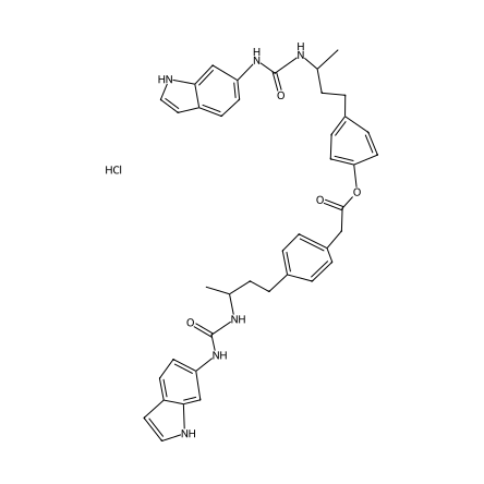 CC(CCc1ccc(CC(=O)Oc2ccc(CCC(C)NC(=O)Nc3ccc4cc[nH]c4c3)cc2)cc1)NC(=O)Nc1ccc2cc[nH]c2c1.Cl